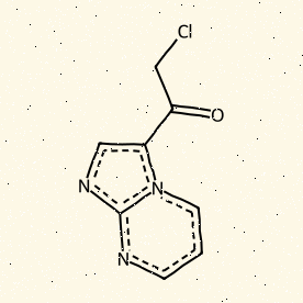 O=C(CCl)c1cnc2ncccn12